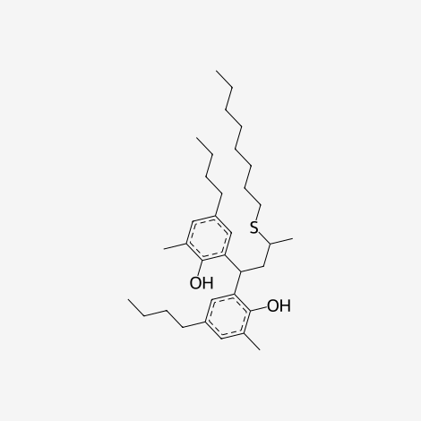 CCCCCCCCSC(C)CC(c1cc(CCCC)cc(C)c1O)c1cc(CCCC)cc(C)c1O